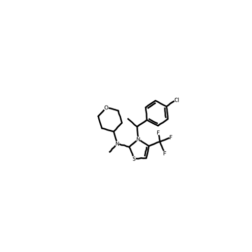 CC(c1ccc(Cl)cc1)N1C(C(F)(F)F)=CSC1N(C)C1CCOCC1